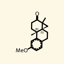 COc1ccc2c(c1)[C@]1(C)CCC(=O)C3(C)C[C@]31CC2